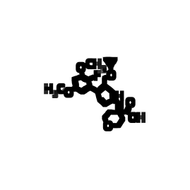 COc1cc(OC)c(F)c(-c2ccc(NC3(C(=O)O)CCOCC3)cc2COC2CC2)c1